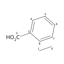 CC.O=C(O)c1ccccc1